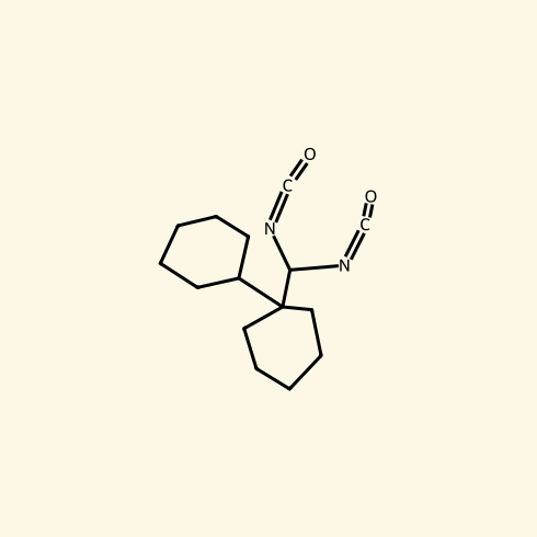 O=C=NC(N=C=O)C1(C2CCCCC2)CCCCC1